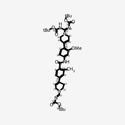 COc1cc(NC(=O)c2ccc(C3=CCN(C=NC(=O)OC(C)(C)C)CC3)cc2C)ccc1C1=CCN(C(=NC(=O)OC(C)(C)C)NC(=O)OC(C)(C)C)CC1